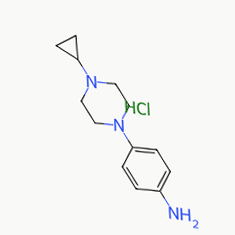 Cl.Nc1ccc(N2CCN(C3CC3)CC2)cc1